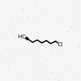 C#CCCCCCCCl